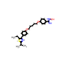 CCc1sc(C(C)C)nc1-c1ccc(OCCCCCOc2ccc(C(=N)NO)cc2)cc1